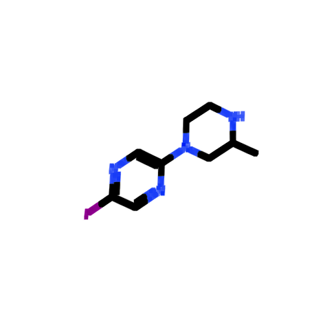 CC1CN(c2cnc(I)cn2)CCN1